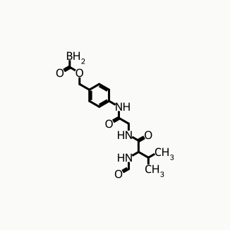 BC(=O)OCc1ccc(NC(=O)CNC(=O)C(NC=O)C(C)C)cc1